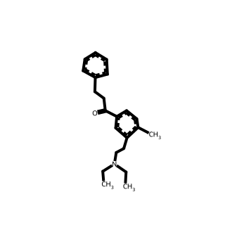 CCN(CC)CCc1cc(C(=O)CCc2ccccc2)ccc1C